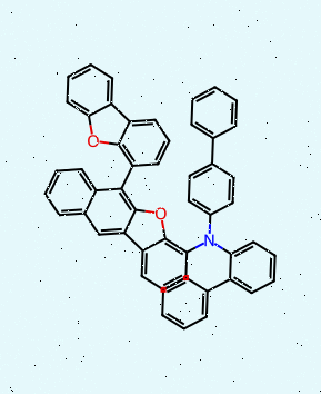 c1ccc(-c2ccc(N(c3ccccc3-c3ccccc3)c3cccc4c3oc3c(-c5cccc6c5oc5ccccc56)c5ccccc5cc34)cc2)cc1